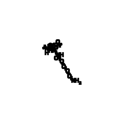 CC(C)Nc1ccc(COC(=O)C(C)C)c(C(=O)NCCNC(=O)CCOCCOCCOCCOCCN)c1